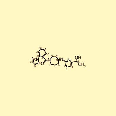 CC(O)c1cccc(NC2CCCN(C(=O)c3ccccc3-n3nccn3)CC2)n1